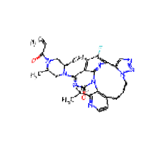 C=CC(=O)N1CC(C)N(c2nc(=O)n3c4nc(c(F)cc24)-c2cnnn2CCCc2ccnc(C(C)C)c2-3)CC1C